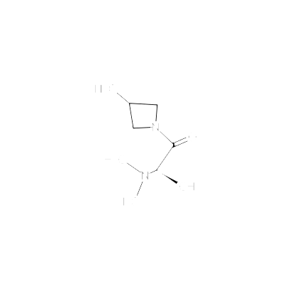 CC1CN(C(=O)[C@@H](C)N(C)C)C1